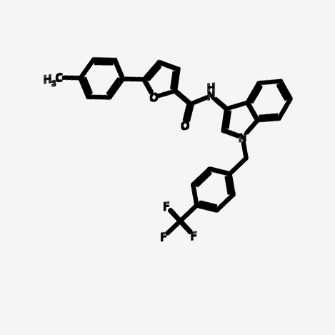 Cc1ccc(-c2ccc(C(=O)Nc3cn(Cc4ccc(C(F)(F)F)cc4)c4ccccc34)o2)cc1